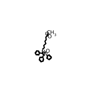 COC(=O)CCCCCCCn1c(-c2ccccc2)c(-c2ccccc2)n(-c2ccccc2)c1=O